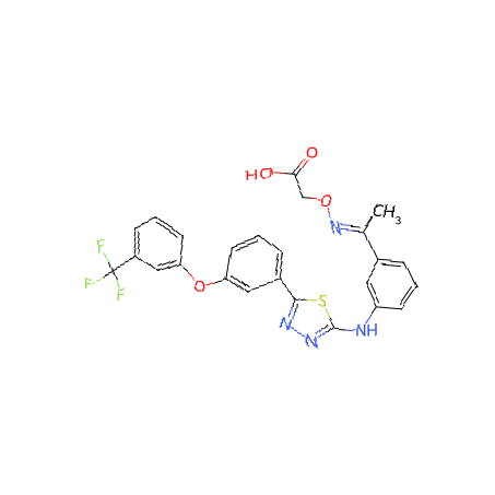 CC(=NOCC(=O)O)c1cccc(Nc2nnc(-c3cccc(Oc4cccc(C(F)(F)F)c4)c3)s2)c1